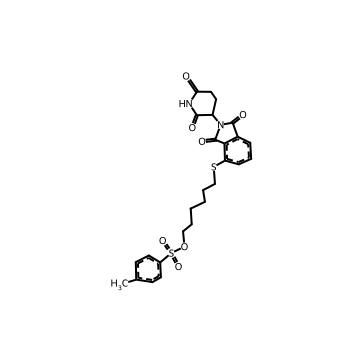 Cc1ccc(S(=O)(=O)OCCCCCCSc2cccc3c2C(=O)N(C2CCC(=O)NC2=O)C3=O)cc1